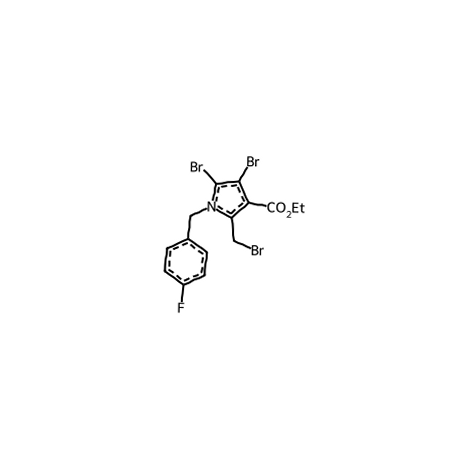 CCOC(=O)c1c(Br)c(Br)n(Cc2ccc(F)cc2)c1CBr